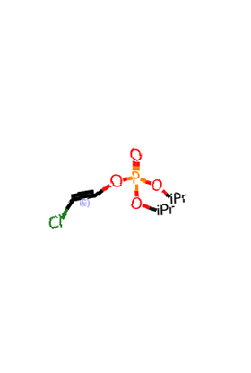 CC(C)OP(=O)(O/C=C/Cl)OC(C)C